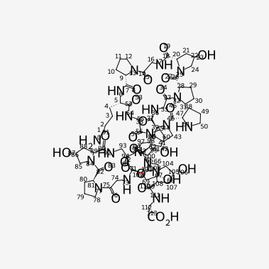 NCCCC[C@H](NC(=O)[C@@H]1CCCN1C(=O)CNC(=O)[C@@H]1C[C@@H](O)CN1C(=O)[C@@H]1CCCN1C(=O)CNC(=O)[C@@H]1C[C@@H](O)CN1C(=O)[C@@H]1CCCN1)C(=O)NCC(=O)N1CCC[C@H]1C(=O)N1C[C@H](O)C[C@H]1C(=O)NCC(=O)N1CCC[C@H]1C(=O)N1C[C@H](O)C[C@H]1C(=O)NCC(=O)N1CCC[C@H]1C(=O)N1C[C@H](O)C[C@H]1C(=O)NCC(=O)O